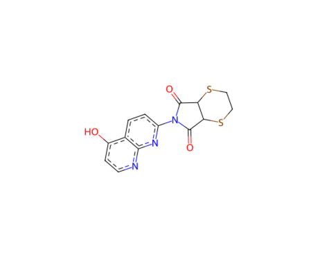 O=C1C2SCCSC2C(=O)N1c1ccc2c(O)ccnc2n1